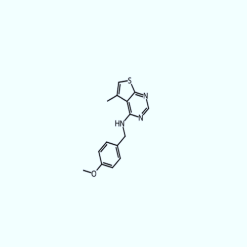 COc1ccc(CNc2ncnc3scc(C)c23)cc1